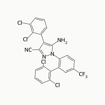 N#Cc1nn(-c2ccc(C(F)(F)F)cc2-c2c(Cl)cccc2Cl)c(N)c1-c1cccc(Cl)c1Cl